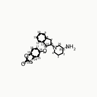 N[C@@H]1CCCN([C@@H]2Cc3ccccc3[C@H]2Oc2ccc3oc(=O)sc3c2)C1